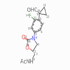 CC(=O)NC[C@H]1CN(c2ccc(C3(C=O)CC3)c(F)c2)C(=O)O1